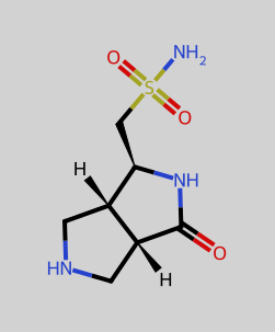 NS(=O)(=O)C[C@H]1NC(=O)[C@@H]2CNC[C@H]12